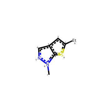 CCc1cc2cnn(C)c2s1